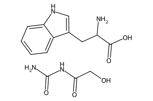 NC(=O)NC(=O)CO.NC(Cc1c[nH]c2ccccc12)C(=O)O